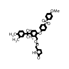 COc1ccc(S(=O)(=O)c2ccc(Oc3ccc(C(C)(C)c4ccc(C)c(C)c4)cc3COOCC3CCC(=O)N3)cc2)cc1